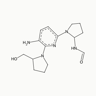 Nc1ccc(N2CCCC2NC=O)nc1N1CCCC1CO